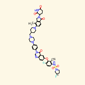 Cc1c(N2CCC(CN3CCN(c4ccc(-n5cnc6ccc(Oc7c(F)ccc(NS(=O)(=O)N8CC[C@@H](F)C8)c7C#N)cc6c5=O)cc4)CC3)CC2)ccc2c1CN([C@@H]1CCC(=O)NC1=O)C2=O